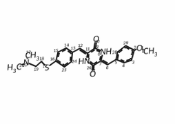 COc1ccc(C=c2[nH]c(=O)c(=Cc3ccc(SCCN(C)C)cc3)[nH]c2=O)cc1